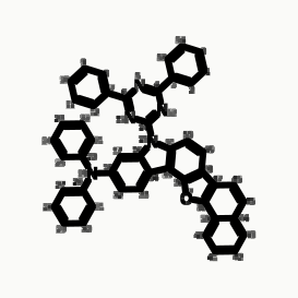 c1ccc(-c2nc(-c3ccccc3)nc(-n3c4cc(N(c5ccccc5)c5ccccc5)ccc4c4c5oc6c7ccccc7ccc6c5ccc43)n2)cc1